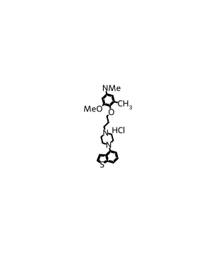 CNc1cc(C)c(OCCCN2CCN(c3cccc4sccc34)CC2)c(OC)c1.Cl